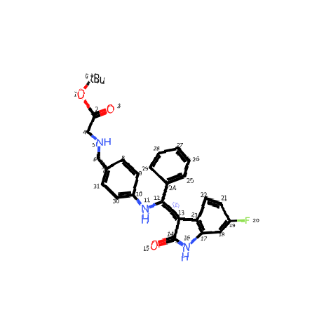 CC(C)(C)OC(=O)CNCc1ccc(N/C(=C2\C(=O)Nc3cc(F)ccc32)c2ccccc2)cc1